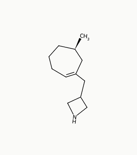 C[C@@H]1CCCC=C(CC2CNC2)C1